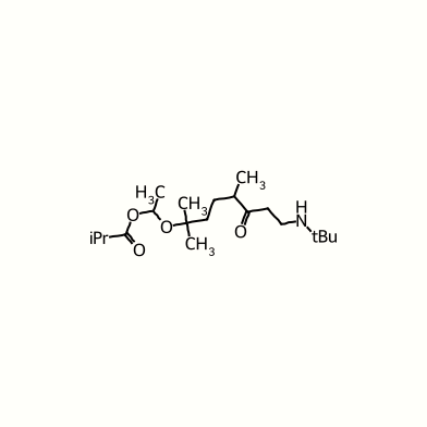 CC(OC(=O)C(C)C)OC(C)(C)CCC(C)C(=O)CCNC(C)(C)C